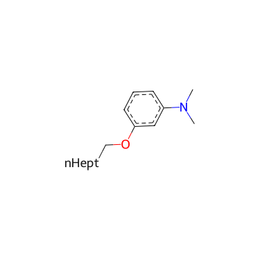 CCCCCCCCOc1cccc(N(C)C)c1